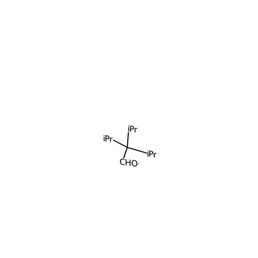 CC(C)C([C]=O)(C(C)C)C(C)C